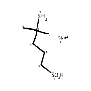 CC(C)([SiH3])CCCS(=O)(=O)O.[NaH]